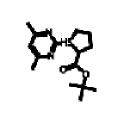 Cc1cc(C)nc([SH]2CCCC2C(=O)OC(C)(C)C)n1